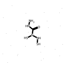 NNC(=O)N(S)NS